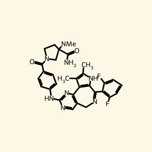 CNC1(C(N)=O)CCN(C(=O)c2ccc(Nc3ncc4c(n3)-c3c([nH]c(C)c3C)C(c3c(F)cccc3F)=NC4)cc2)C1